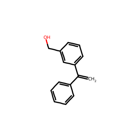 C=C(c1ccccc1)c1cccc(CO)c1